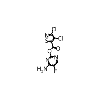 Nc1nc(OC(=O)c2snc(Cl)c2Cl)ncc1F